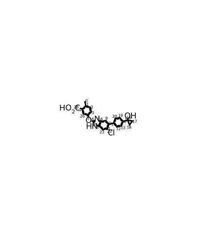 Cc1ccc(Oc2nc3cc(-c4ccc(C5(O)CC5)cc4)c(Cl)cc3[nH]2)cc1C(=O)O